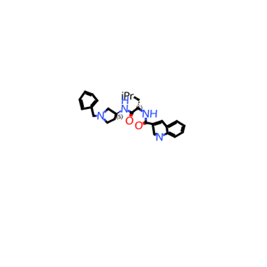 CC(C)C[C@H](NC(=O)c1cnc2ccccc2c1)C(=O)N[C@H]1CCN(Cc2ccccc2)C1